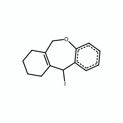 IC1C2=C(CCCC2)COc2ccccc21